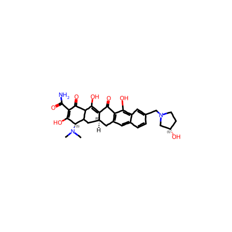 CN(C)[C@@H]1C(O)=C(C(N)=O)C(=O)C2C(O)=C3C(=O)c4c(cc5ccc(CN6CC[C@H](O)C6)cc5c4O)C[C@H]3CC21